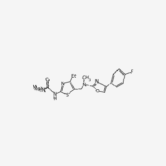 CCc1nc(NC(=O)NC)sc1CN(C)c1nc(-c2ccc(F)cc2)co1